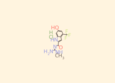 CNC(N)=NC(=O)c1cc2c(C(F)(F)F)cc(O)cc2[nH]1.Cl